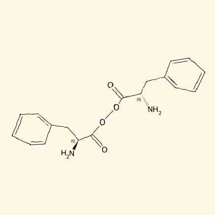 N[C@@H](Cc1ccccc1)C(=O)OOC(=O)[C@@H](N)Cc1ccccc1